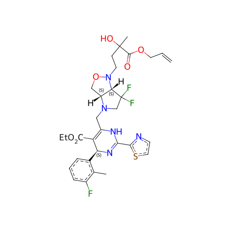 C=CCOC(=O)C(C)(O)CCN1OC[C@@H]2[C@H]1C(F)(F)CN2CC1=C(C(=O)OCC)[C@H](c2cccc(F)c2C)N=C(c2nccs2)N1